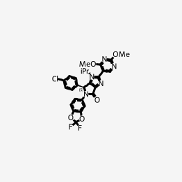 COc1ncc(-c2nc3c(n2C(C)C)[C@H](c2ccc(Cl)cc2)N(c2ccc4c(c2)OC(F)(F)O4)C3=O)c(OC)n1